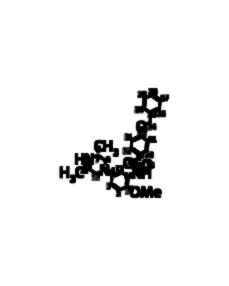 COc1ccc(N2C[C@@H](C)N[C@@H](C)C2)cc1NS(=O)(=O)c1ccc(OCc2ccccc2)cc1